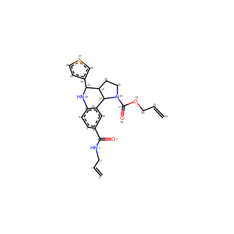 C=CCNC(=O)c1ccc2c(c1)C1C(CCN1C(=O)OCC=C)C(c1ccsc1)N2